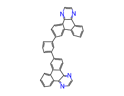 c1cc(-c2ccc3c(c2)c2ccccc2c2nccnc32)cc(-c2ccc3c(c2)c2ccccc2c2nccnc32)c1